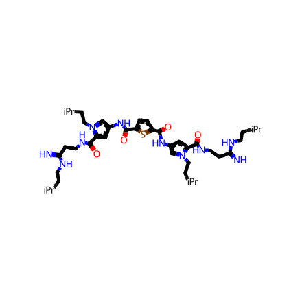 CC(C)CCNC(=N)CCNC(=O)c1cc(NC(=O)c2ccc(C(=O)Nc3cc(C(=O)NCCC(=N)NCCC(C)C)n(CCC(C)C)c3)s2)cn1CCC(C)C